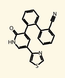 N#Cc1ccccc1-c1ccccc1-c1cc(-c2cscn2)c[nH]c1=O